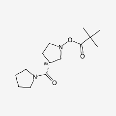 CC(C)(C)C(=O)ON1CC[C@@H](C(=O)N2CCCC2)C1